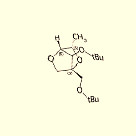 C[C@@H]1O[C@]2(COC(C)(C)C)CO[C@H]1C2OC(C)(C)C